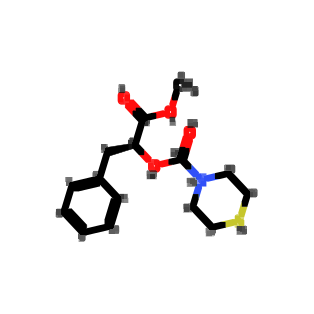 COC(=O)[C@H](Cc1ccccc1)OC(=O)N1CCSCC1